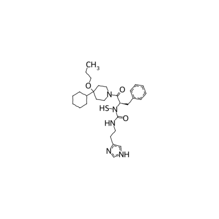 CCCOC1(C2CCCCC2)CCN(C(=O)[C@@H](Cc2ccccc2)N(S)C(=O)NCCc2c[nH]cn2)CC1